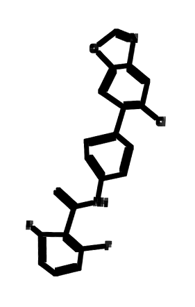 C=C(Nc1ccc(-c2cc3ocnc3cc2Cl)cc1)c1c(F)cccc1F